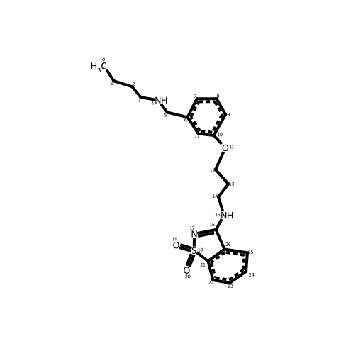 CCCCNCc1cccc(OCCCNC2=NS(=O)(=O)c3ccccc32)c1